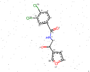 O=C(CNC(=O)c1ccc(Cl)c(Cl)c1)c1ccoc1